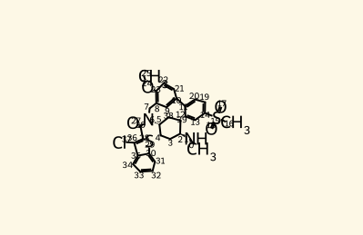 CN[C@H]1CC[C@H](N(Cc2cc(-c3ccc(S(C)(=O)=O)cc3)ccc2OC)C(=O)c2sc3ccccc3c2Cl)CC1